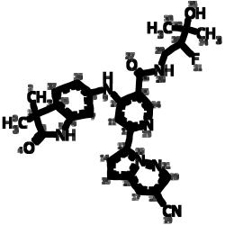 CC1(C)C(=O)Nc2cc(Nc3cc(-c4ccc5cc(C#N)cnn45)ncc3C(=O)NCC(F)C(C)(C)O)ccc21